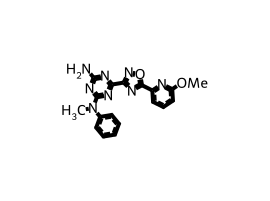 COc1cccc(-c2nc(-c3nc(N)nc(N(C)c4ccccc4)n3)no2)n1